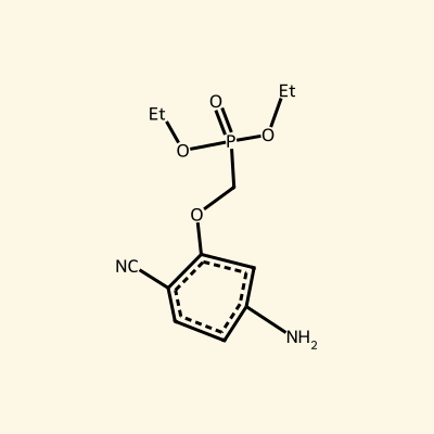 CCOP(=O)(COc1cc(N)ccc1C#N)OCC